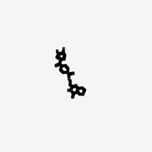 O=C(c1ccc(F)c(F)c1)C1CCN(C(=O)CCCc2nc3c(c(=O)[nH]2)COCC3)CC1